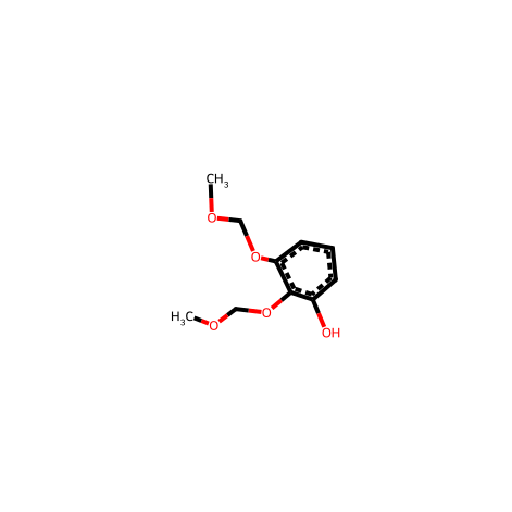 COCOc1cccc(O)c1OCOC